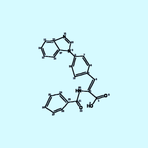 O=C(O)C(=Cc1ccc(-n2cnc3ccccc32)cc1)NC(=O)c1ccccc1